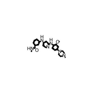 CNC(=O)c1cccc(Nc2ccnc(Nc3ccc(N4CCN(C)CC4)cc3OC)c2)c1